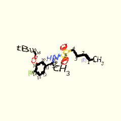 C/C=C/CCS(=O)(=O)N[C@H](C)c1ccc(F)c(OCC(C)(C)C)c1